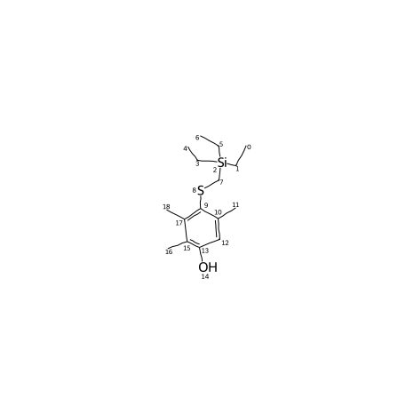 CC[Si](CC)(CC)CSc1c(C)cc(O)c(C)c1C